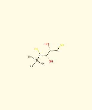 CC(C)[Si](C(C)C)(C(C)C)C(S)[C@@H](O)[C@H](O)CS